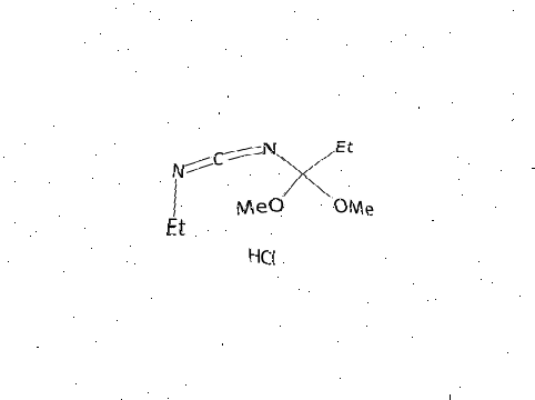 CCN=C=NC(CC)(OC)OC.Cl